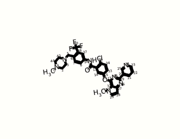 CN1CCN(Cc2ccc(NC(=O)c3cc(Oc4nc(-c5cccnc5)nc5ccn(C)c45)ccc3Cl)cc2C(F)(F)F)CC1